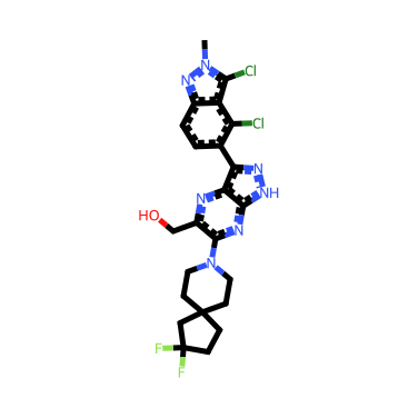 Cn1nc2ccc(-c3n[nH]c4nc(N5CCC6(CC5)CCC(F)(F)C6)c(CO)nc34)c(Cl)c2c1Cl